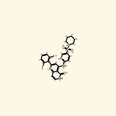 O=c1[nH]ccc2nc(-c3c(F)cccc3F)cc(Nc3ccc(S(=O)(=O)N4CCCCC4)cn3)c12